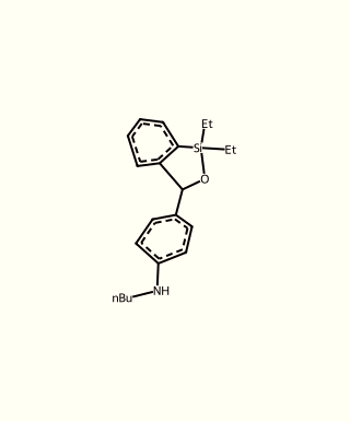 CCCCNc1ccc(C2O[Si](CC)(CC)c3ccccc32)cc1